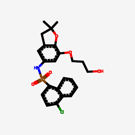 CC1(C)Cc2cc(NS(=O)(=O)c3ccc(Cl)c4ccccc34)cc(OCCCO)c2O1